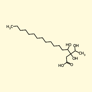 CCCCCCCCCCCCCC(O)C(O)(CC(=O)O)C(C)O